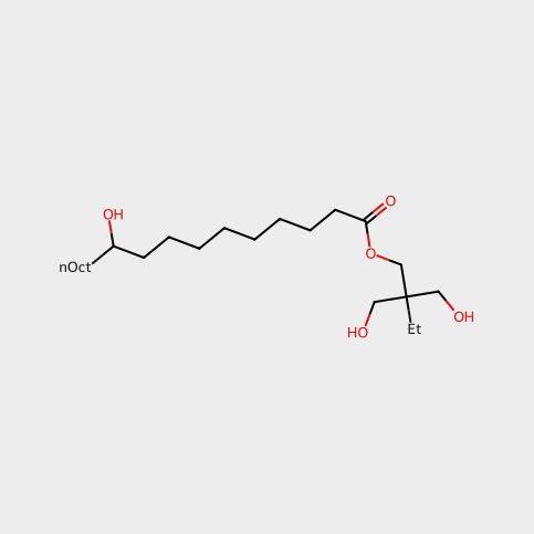 CCCCCCCCC(O)CCCCCCCCC(=O)OCC(CC)(CO)CO